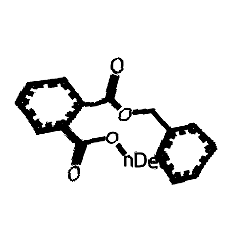 CCCCCCCCCCOC(=O)c1ccccc1C(=O)OCc1ccccc1